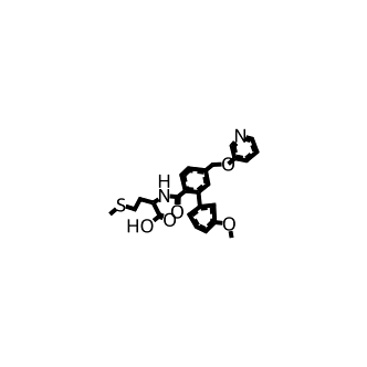 COc1cccc(-c2cc(COc3cccnc3)ccc2C(=O)NC(CCSC)C(=O)O)c1